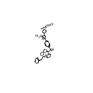 Cn1nc(-c2ccc(NC(=O)[C@@H]3CCCN3C(=O)Cc3ccccc3)cc2)cc1-c1ccc(NC=O)cc1